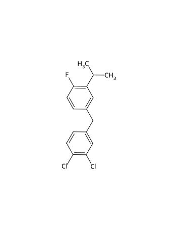 CC(C)c1cc(Cc2ccc(Cl)c(Cl)c2)ccc1F